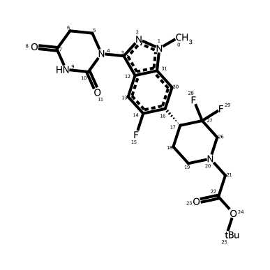 Cn1nc(N2CCC(=O)NC2=O)c2cc(F)c([C@H]3CCN(CC(=O)OC(C)(C)C)CC3(F)F)cc21